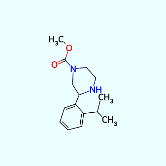 COC(=O)N1CCNC(c2ccccc2C(C)C)C1